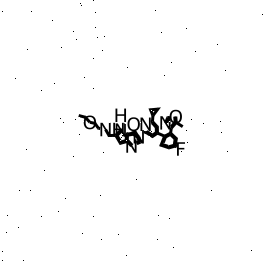 CCOCCNCc1cc2ncn(-c3cc(-c4ccc(F)cc4-c4ncoc4C)cc(C4CC4)n3)c(=O)c2[nH]1